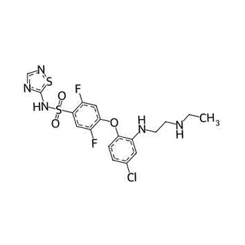 CCNCCNc1cc(Cl)ccc1Oc1cc(F)c(S(=O)(=O)Nc2ncns2)cc1F